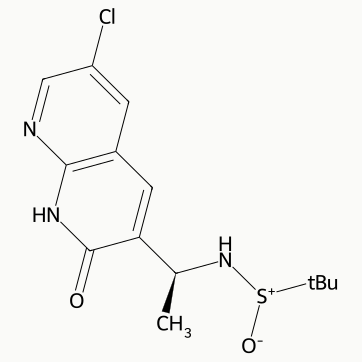 C[C@H](N[S+]([O-])C(C)(C)C)c1cc2cc(Cl)cnc2[nH]c1=O